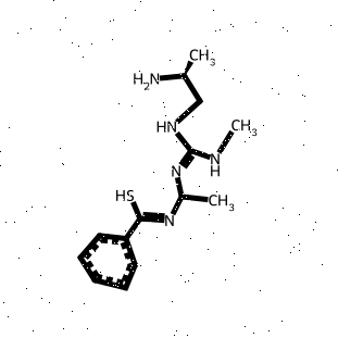 CN/C(=N\C(C)/N=C(\S)c1ccccc1)NC[C@H](C)N